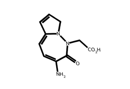 NC1=CC=C2C=CCN2N(CC(=O)O)C1=O